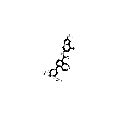 Cc1cn2cc(NC(=O)c3ccc(N4C[C@@H](C)N[C@@H](C)C4)c4ccnnc34)cc(F)c2n1